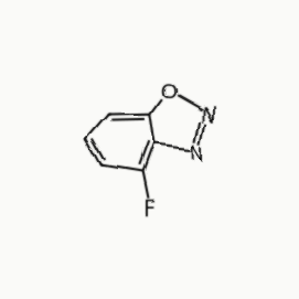 Fc1cccc2onnc12